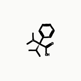 CC(C)[C@@](C(=O)O)(c1ccccc1)N(C)C